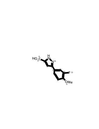 COc1ccc(-c2cc(C(=O)O)[nH]n2)cc1F